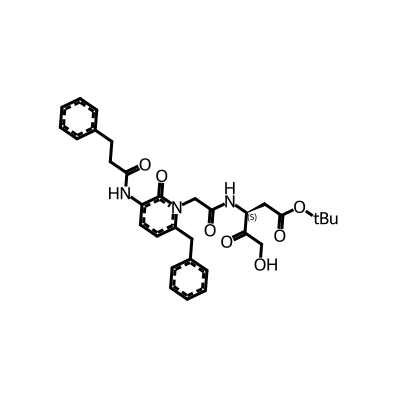 CC(C)(C)OC(=O)C[C@H](NC(=O)Cn1c(Cc2ccccc2)ccc(NC(=O)CCc2ccccc2)c1=O)C(=O)CO